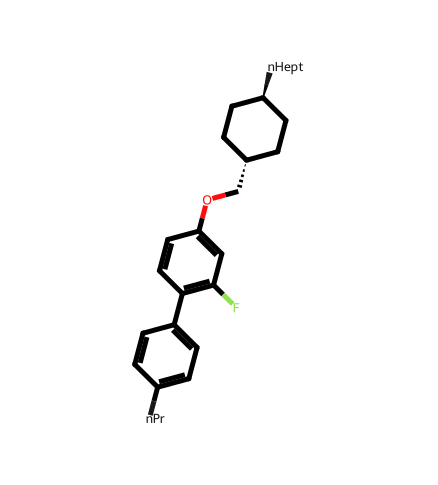 CCCCCCC[C@H]1CC[C@H](COc2ccc(-c3ccc(CCC)cc3)c(F)c2)CC1